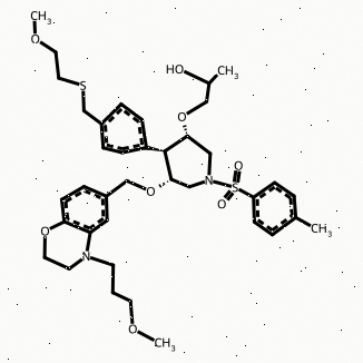 COCCCN1CCOc2ccc(CO[C@H]3CN(S(=O)(=O)c4ccc(C)cc4)C[C@@H](OCC(C)O)[C@@H]3c3ccc(CSCCOC)cc3)cc21